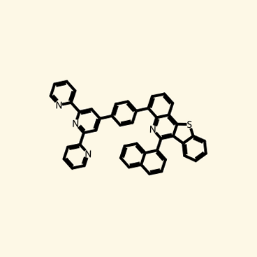 c1ccc(-c2cc(-c3ccc(-c4cccc5c4nc(-c4cccc6ccccc46)c4c6ccccc6sc54)cc3)cc(-c3ccccn3)n2)nc1